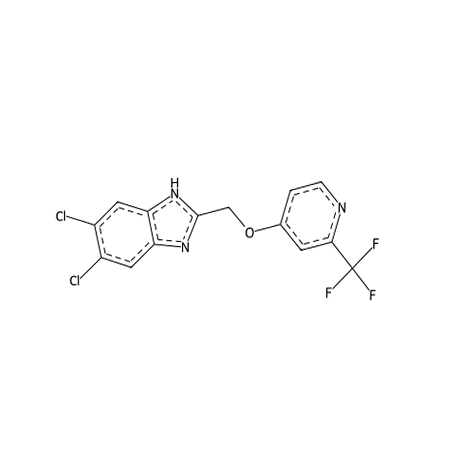 FC(F)(F)c1cc(OCc2nc3cc(Cl)c(Cl)cc3[nH]2)ccn1